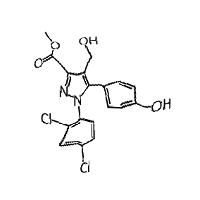 COC(=O)c1nn(-c2ccc(Cl)cc2Cl)c(-c2ccc(O)cc2)c1CO